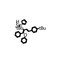 CC(C)(C)C(C=Cc1ccc(C(C)(C)C)cc1)=C(Oc1ccccc1)c1ccccc1.C[SiH](C)[Ti][C]1=CC=CC1